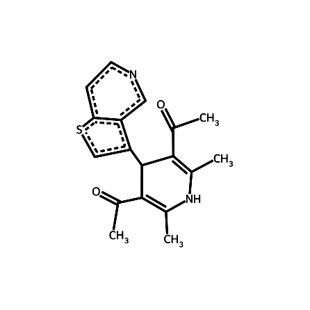 CC(=O)C1=C(C)NC(C)=C(C(C)=O)C1c1csc2ccncc12